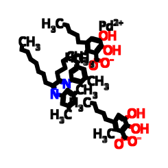 CCCCCCCCC(=Nc1cc(C)cc(C)c1)C(CCCC)=Nc1cc(C)cc(C)c1.CCCCCc1cc(O)c(O)c(C(=O)[O-])c1C.CCCCCc1cc(O)c(O)c(C(=O)[O-])c1C.[Pd+2]